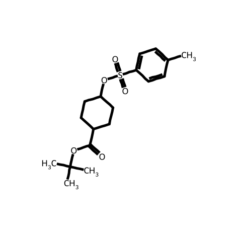 Cc1ccc(S(=O)(=O)OC2CCC(C(=O)OC(C)(C)C)CC2)cc1